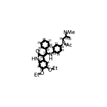 CCOc1cc2c(cc1OCC)C(=C(Nc1ccc(N(CC(C)NC)C(C)=O)cc1)c1ccccc1)C(=O)N2